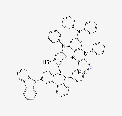 C/C=C\C1=C2B3c4cc(c(S)cc4N(c4ccccc4)c4cc(N(c5ccccc5)c5ccccc5)cc(c43)N1c1ccccc1)B1c3ccc(-n4c5ccccc5c5ccccc54)cc3-c3ccccc3N1c1cccc2c1